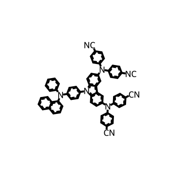 [C-]#[N+]c1ccc(N(c2ccc(C#N)cc2)c2ccc3c(c2)c2cc(N(c4ccc(C#N)cc4)c4ccc(C#N)cc4)ccc2n3-c2ccc(N(c3ccccc3)c3cccc4ccccc34)cc2)cc1